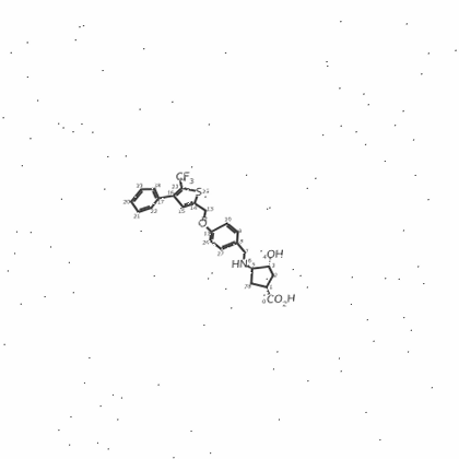 O=C(O)[C@@H]1C[C@@H](O)[C@H](NCc2ccc(OCc3cc(-c4ccccc4)c(C(F)(F)F)s3)cc2)C1